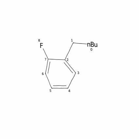 CCCCCc1ccccc1F